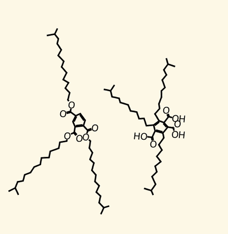 CC(C)CCCCCCCCCCCCOC(=O)c1ccc(C(=O)OCCCCCCCCCCCCC(C)C)c(C(=O)OCCCCCCCCCCCCC(C)C)c1.CC(C)CCCCCCCCCc1c(CCCCCCCCCC(C)C)c(C(=O)O)c(C(=O)O)c(CCCCCCCCCC(C)C)c1C(=O)O